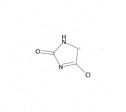 O=C1N=C(Cl)[C]N1